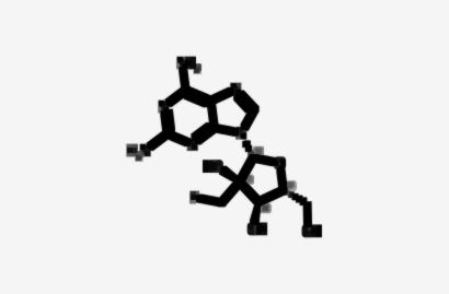 Nc1nc(N)c2ncn([C@@H]3O[C@H](CO)[C@@H](O)[C@]3(O)CF)c2n1